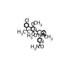 COc1cn(C(Cc2ccn(C)n2)C(=O)Nc2ccc(C(N)=O)nc2)c(=O)cc1-c1cc(Cl)ccc1C(C)C